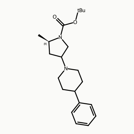 C[C@@H]1CC(N2CCC(c3ccccc3)CC2)CN1C(=O)OC(C)(C)C